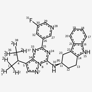 [2H]C([2H])([2H])C(c1cnn2c(N[C@@H]3CCc4[nH]c5ccccc5c4C3)nc(-c3cncc(F)c3)nc12)C([2H])([2H])[2H]